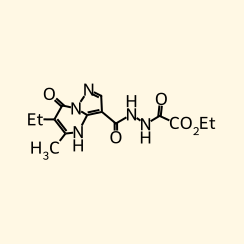 CCOC(=O)C(=O)NNC(=O)c1cnn2c(=O)c(CC)c(C)[nH]c12